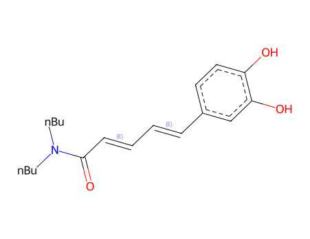 CCCCN(CCCC)C(=O)/C=C/C=C/c1ccc(O)c(O)c1